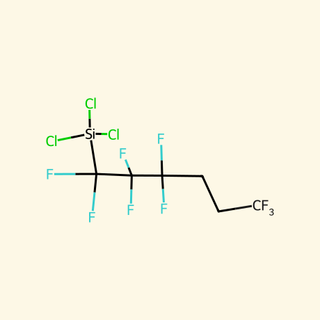 FC(F)(F)CCC(F)(F)C(F)(F)C(F)(F)[Si](Cl)(Cl)Cl